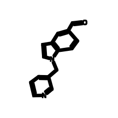 O=Cc1ccc2c(ccn2Cc2cccnc2)c1